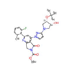 [2H]C([2H])([2H])O[C@H]1CN(c2ccn(-c3cc(-c4c(F)cccc4C#N)nc4c3C(=O)N(C(=O)OC(C)(C)C)C4)n2)C[C@H]1O